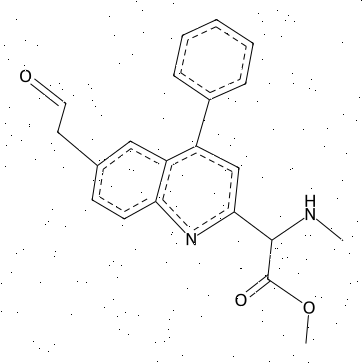 CNC(C(=O)OC)c1cc(-c2ccccc2)c2cc(CC=O)ccc2n1